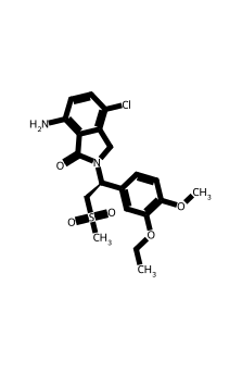 CCOc1cc([C@@H](CS(C)(=O)=O)N2Cc3c(Cl)ccc(N)c3C2=O)ccc1OC